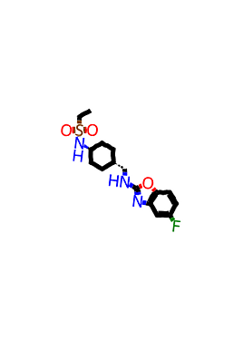 CCS(=O)(=O)N[C@H]1CC[C@H](CNc2nc3cc(F)ccc3o2)CC1